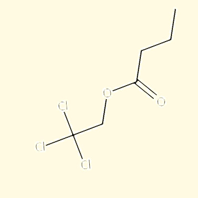 CCCC(=O)OCC(Cl)(Cl)Cl